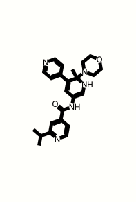 CC(C)c1cc(C(=O)NC2=CNC(C)(N3CCOCC3)C(c3ccncc3)=C2)ccn1